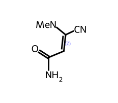 CN/C(C#N)=C\C(N)=O